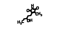 CCC(O)CCC1=C(C)C(=O)NC1=O